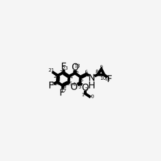 CCOC(=O)C(=CNC1CC1F)C(=O)c1cc(F)c(F)c(C)c1F